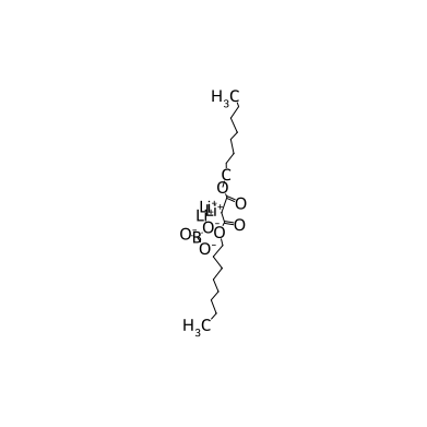 CCCCCCCCOC(=O)CC(=O)OCCCCCCCC.[Li+].[Li+].[Li+].[O-]B([O-])[O-]